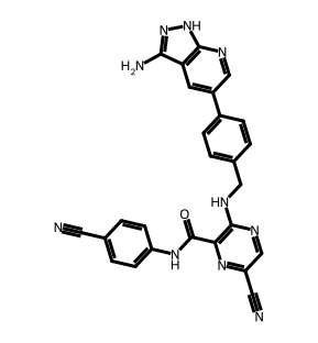 N#Cc1ccc(NC(=O)c2nc(C#N)cnc2NCc2ccc(-c3cnc4[nH]nc(N)c4c3)cc2)cc1